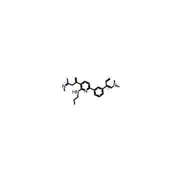 C=C/C(=C\N(C)C)c1cccc(-c2ccc(C(=C)C/C(C)=N\C)c(NCCC)n2)c1